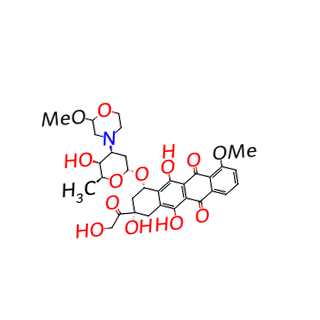 COc1cccc2c1C(=O)c1c(O)c3c(c(O)c1C2=O)C[C@@](O)(C(=O)CO)C[C@@H]3O[C@H]1C[C@H](N2CCOC(OC)C2)[C@H](O)[C@H](C)O1